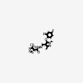 Cc1nn(C)c(Oc2ccc(F)cc2F)c1/C=N/NC(=O)c1snnc1C(F)(F)F